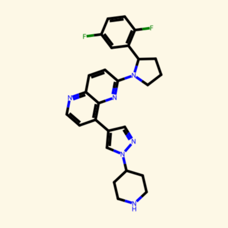 Fc1ccc(F)c(C2CCCN2c2ccc3nccc(-c4cnn(C5CCNCC5)c4)c3n2)c1